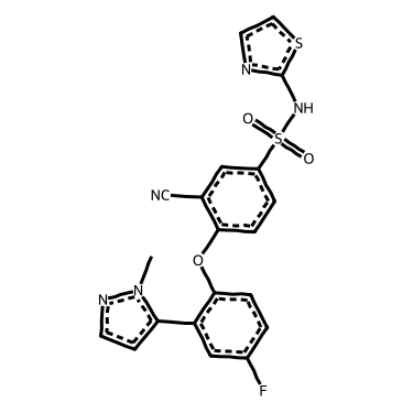 Cn1nccc1-c1cc(F)ccc1Oc1ccc(S(=O)(=O)Nc2nccs2)cc1C#N